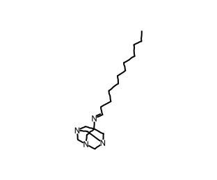 CCCCCCCCCCCC=NC12CN3CN(CN(C3)C1)C2